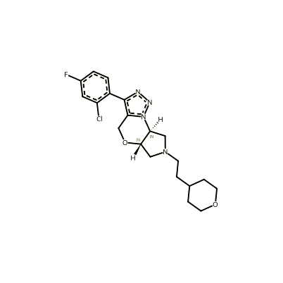 Fc1ccc(-c2nnn3c2CO[C@H]2CN(CCC4CCOCC4)C[C@@H]23)c(Cl)c1